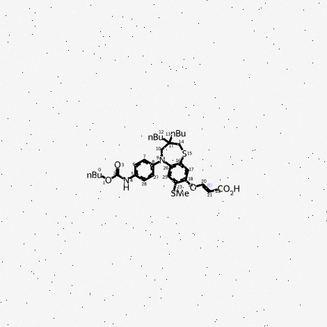 CCCCOC(=O)Nc1ccc(N2CC(CCCC)(CCCC)CSc3cc(O/C=C/C(=O)O)c(SC)cc32)cc1